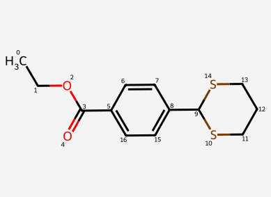 CCOC(=O)c1ccc(C2SCCCS2)cc1